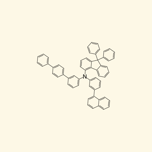 c1ccc(-c2ccc(-c3cccc(N(c4cccc(-c5cccc6ccccc56)c4)c4cccc5c4-c4ccccc4C5(c4ccccc4)c4ccccc4)c3)cc2)cc1